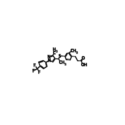 Cc1cc(SC(C)c2cn(-c3ccc(C(F)(F)F)cc3)nc2C)ccc1CCC(=O)O